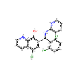 Oc1c(C(Nc2ccccn2)c2c(Cl)cccc2Cl)cc(Cl)c2cccnc12